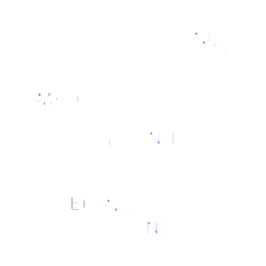 CCn1cncc1CNc1cc([N+](=O)[O-])ccc1C(=O)OC